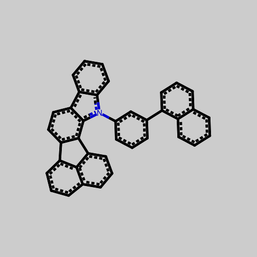 c1cc(-c2cccc3ccccc23)cc(-n2c3ccccc3c3ccc4c(c32)-c2cccc3cccc-4c23)c1